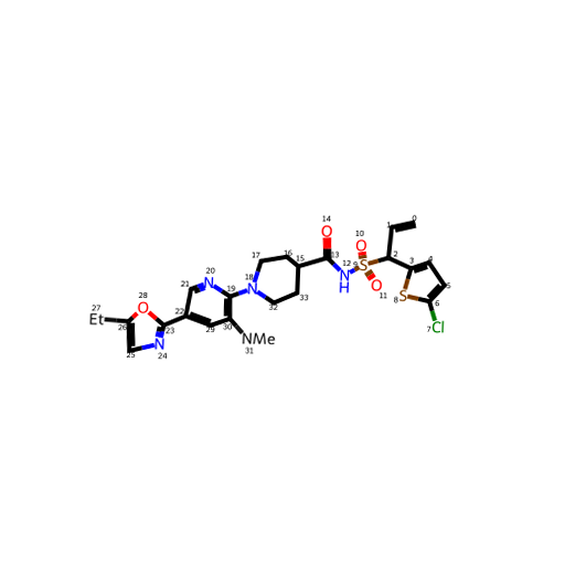 C=CC(c1ccc(Cl)s1)S(=O)(=O)NC(=O)C1CCN(c2ncc(-c3ncc(CC)o3)cc2NC)CC1